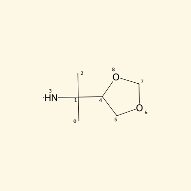 CC(C)([NH])C1COCO1